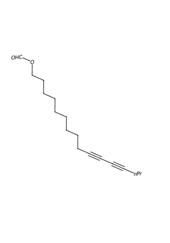 CCCC#CC#CCCCCCCCCCOC=O